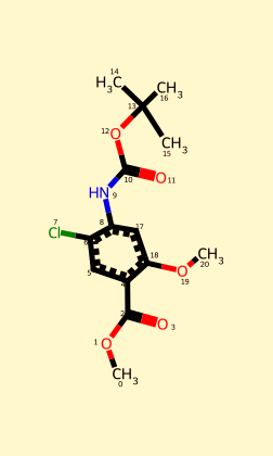 COC(=O)c1cc(Cl)c(NC(=O)OC(C)(C)C)cc1OC